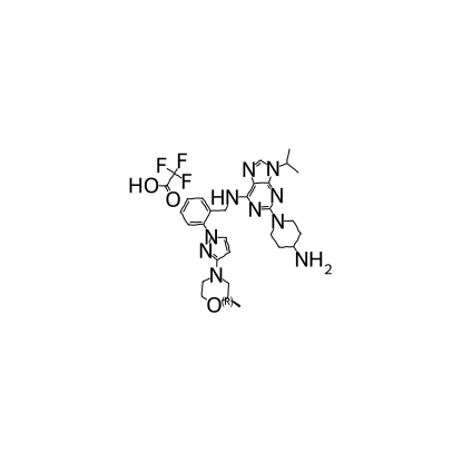 CC(C)n1cnc2c(NCc3ccccc3-n3ccc(N4CCO[C@H](C)C4)n3)nc(N3CCC(N)CC3)nc21.O=C(O)C(F)(F)F